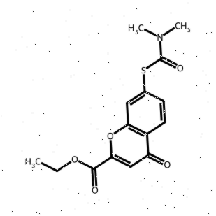 CCOC(=O)c1cc(=O)c2ccc(SC(=O)N(C)C)cc2o1